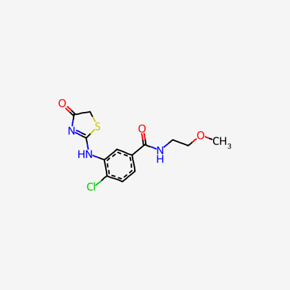 COCCNC(=O)c1ccc(Cl)c(NC2=NC(=O)CS2)c1